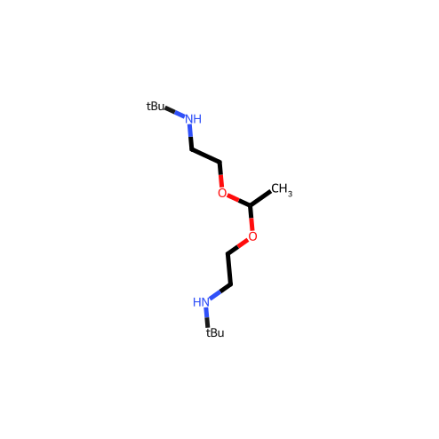 CC(OCCNC(C)(C)C)OCCNC(C)(C)C